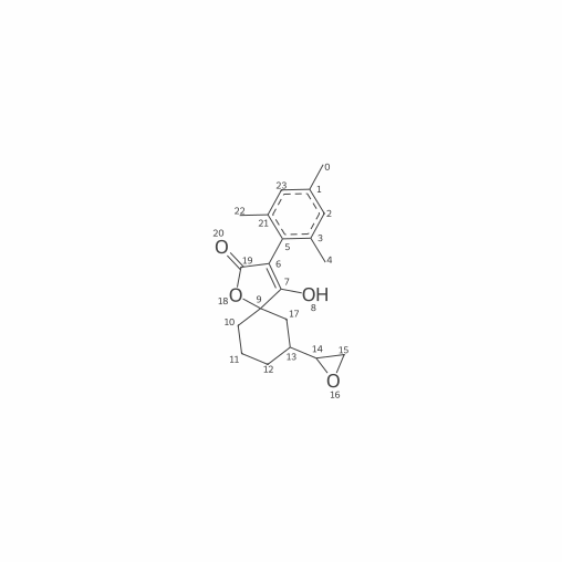 Cc1cc(C)c(C2=C(O)C3(CCCC(C4CO4)C3)OC2=O)c(C)c1